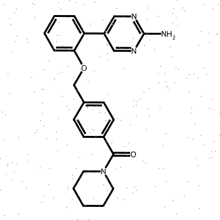 Nc1ncc(-c2ccccc2OCc2ccc(C(=O)N3CCCCC3)cc2)cn1